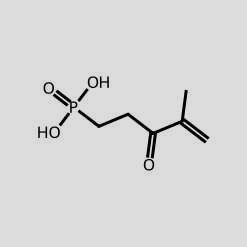 C=C(C)C(=O)CCP(=O)(O)O